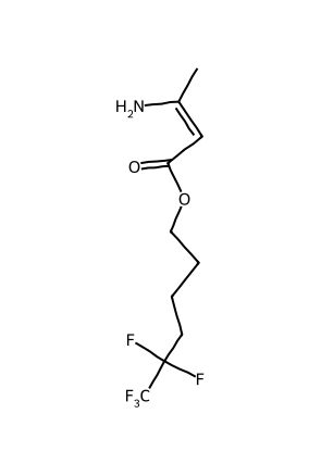 C/C(N)=C/C(=O)OCCCCC(F)(F)C(F)(F)F